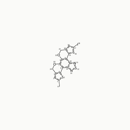 Ic1cc2c(s1)-c1c(c3c(c4nsnc14)-c1sc(I)cc1CO3)OC2